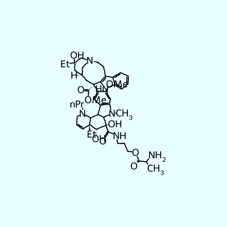 CCCN1CC=C[C@]2(CC)C1C1c3cc([C@@]4(C(=O)OC)C[C@@H]5C[N@](CCc6c4[nH]c4ccccc64)CC(O)(CC)C5)c(OC)cc3N(C)C1[C@@](O)(C(=O)NCCCOC(=O)C(C)N)[C@@H]2O